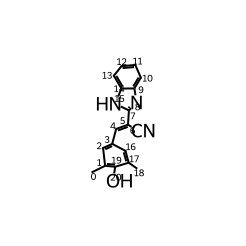 Cc1cc(/C=C(\C#N)c2nc3ccccc3[nH]2)cc(C)c1O